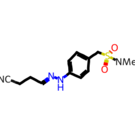 CNS(=O)(=O)Cc1ccc(N/N=C/CCC#N)cc1